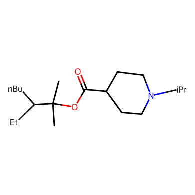 CCCCC(CC)C(C)(C)OC(=O)C1CCN(C(C)C)CC1